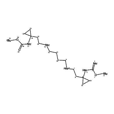 CC(C)(C)OC(=N)NC1(CCNCCCCNCCC2(NC(=O)OC(C)(C)C)CC2)CC1